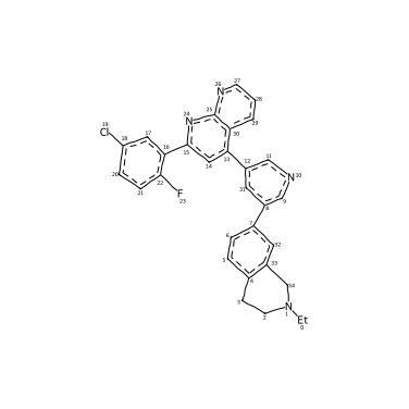 CCN1CCc2ccc(-c3cncc(-c4cc(-c5cc(Cl)ccc5F)nc5ncccc45)c3)cc2C1